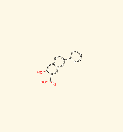 O=C(O)c1cc2cc(-c3ccccc3)ccc2cc1O